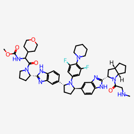 CNCC(=O)N1[C@H](c2nc3cc([C@H]4CC[C@H](c5ccc6[nH]c([C@@H]7CCCN7C(=O)C(NC(=O)OC)C7CCOCC7)nc6c5)N4c4cc(F)c(N5CCCCC5)c(F)c4)ccc3[nH]2)C[C@@H]2CCC[C@@H]21